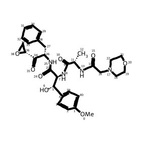 COc1ccc([C@H](O)[C@H](NC(=O)[C@H](C)NC(=O)CN2CCOCC2)C(=O)N[C@@H](Cc2ccccc2)C(=O)[C@H]2CO2)cc1